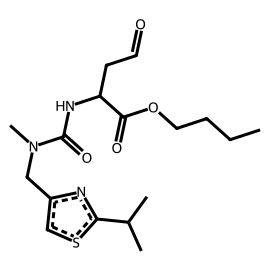 CCCCOC(=O)C(CC=O)NC(=O)N(C)Cc1csc(C(C)C)n1